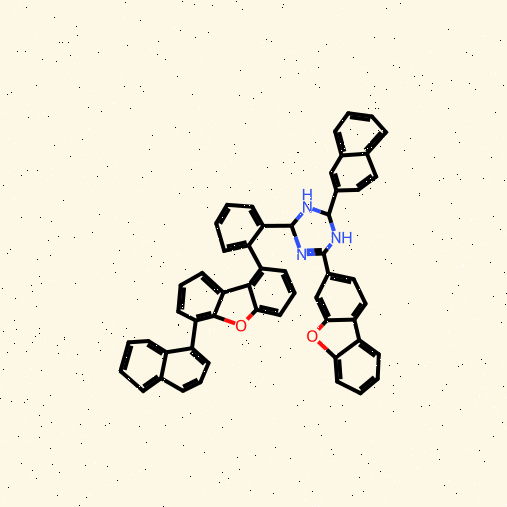 c1ccc(C2N=C(c3ccc4c(c3)oc3ccccc34)NC(c3ccc4ccccc4c3)N2)c(-c2cccc3oc4c(-c5cccc6ccccc56)cccc4c23)c1